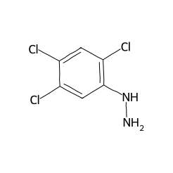 NNc1cc(Cl)c(Cl)cc1Cl